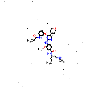 C=CC(=O)Nc1cccc(Oc2nc(Nc3ccc(C(=O)NC(CCC)CCNC)cc3OC)ncc2C2=CCOCC2)c1